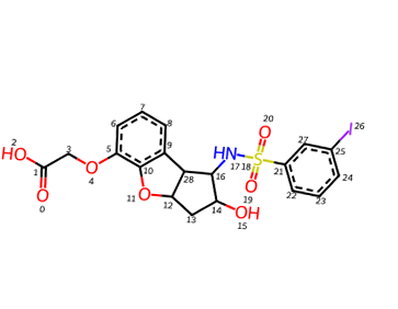 O=C(O)COc1cccc2c1OC1CC(O)C(NS(=O)(=O)c3cccc(I)c3)C21